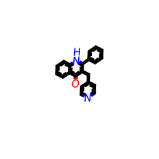 O=c1c(Cc2ccncc2)c(-c2ccccc2)[nH]c2ccccc12